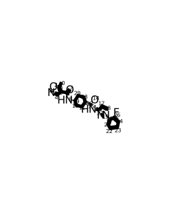 Cc1oncc1C(=O)N[C@H]1CC[C@@H](C(=O)Nc2ccn(-c3ccccc3F)n2)CC1